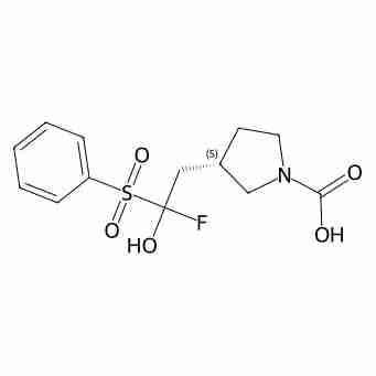 O=C(O)N1CC[C@@H](CC(O)(F)S(=O)(=O)c2ccccc2)C1